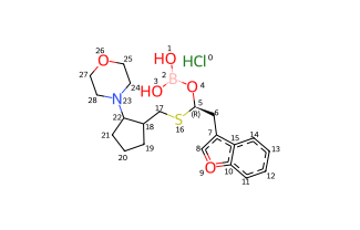 Cl.OB(O)O[C@@H](Cc1coc2ccccc12)SCC1CCCC1N1CCOCC1